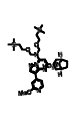 COc1cc(-c2cnn3c(N(COCC[Si](C)(C)C)COCC[Si](C)(C)C)cc([C@@H]4C[C@H]5CC[C@@H](C4)N5C(=O)O)nc23)ccn1